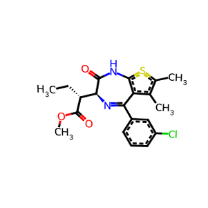 CC[C@@H](C(=O)OC)[C@@H]1N=C(c2cccc(Cl)c2)c2c(sc(C)c2C)NC1=O